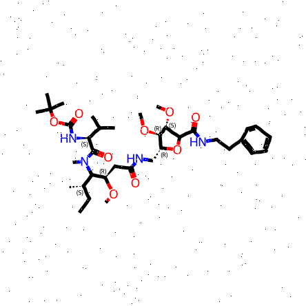 CC[C@H](C)C([C@@H](CC(=O)NC[C@H]1OC(C(=O)NCCc2ccccc2)[C@@H](OC)[C@@H]1OC)OC)N(C)C(=O)[C@@H](NC(=O)OC(C)(C)C)C(C)C